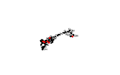 CC[C@]1(O)C[C@H]2CN(CCc3c([nH]c4ccccc34)[C@@](C(=O)OC)(c3cc4c(cc3OC)N(C)[C@H]3[C@@](O)(C(=O)NNC(=O)OCCCSSCCC(=O)NC[C@H](NC(=O)[C@H](CC(=O)O)NC(C)=O)C(=O)O)[C@H](O)[C@]5(CC)C=CCN6CC[C@]43[C@@H]65)C2)C1